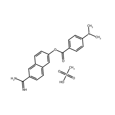 CN(C)c1ccc(C(=O)Oc2ccc3cc(C(=N)N)ccc3c2)cc1.CS(=O)(=O)O